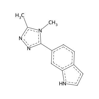 Cc1nnc(-c2ccc3cc[nH]c3c2)n1C